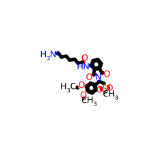 CCOc1cc(C(CS(C)(=O)=O)N2C(=O)c3cccc(NC(=O)CCCCCCN)c3C2=O)ccc1OC